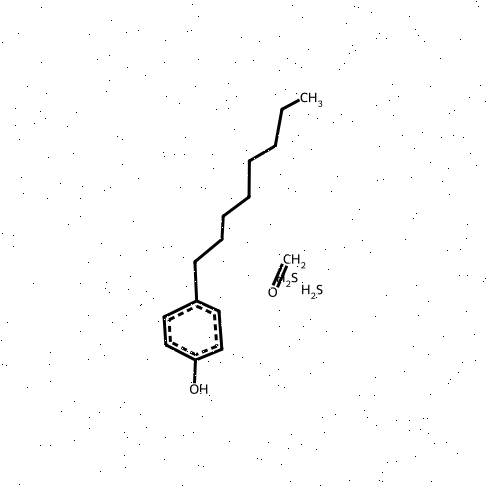 C=O.CCCCCCCCc1ccc(O)cc1.S.S